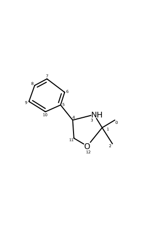 CC1(C)NC(c2ccccc2)CO1